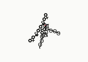 CCCOCCOCCOOc1ccc(C2(c3ccc(OCCOCCOCCOC)c(C(=O)OCC)c3)c3cc(-c4ccc(-c5ccc6c(c5)C(C)(C)c5ccccc5-6)s4)ccc3-c3ccc(-c4ccc(-c5ccc6c(c5)C(C)(C)c5ccccc5-6)s4)cc32)cc1C(=O)OCC